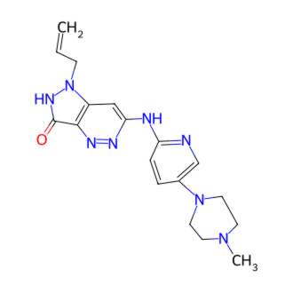 C=CCn1[nH]c(=O)c2nnc(Nc3ccc(N4CCN(C)CC4)cn3)cc21